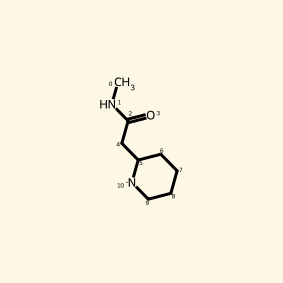 CNC(=O)CC1CCCC[N]1